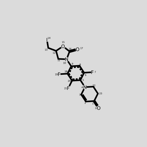 O=C1C=CN(c2c(F)cc(N3CC(CI)OC3=O)c(F)c2F)CC1